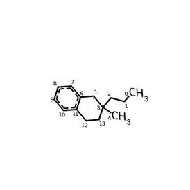 CCCC1(C)[CH]c2ccccc2CC1